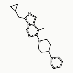 Cc1c(N2CCC(c3ccccc3)CC2)cnn2c(CC3CC3)nnc12